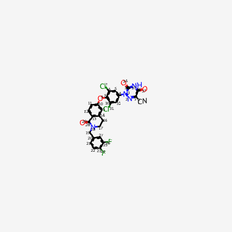 N#Cc1nn(-c2cc(Cl)c(Oc3ccc4c(c3)CCN(Cc3ccc(F)c(F)c3)C4=O)c(Cl)c2)c(=O)[nH]c1=O